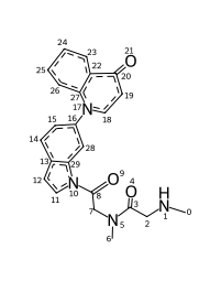 CNCC(=O)N(C)CC(=O)n1ccc2ccc(-n3ccc(=O)c4ccccc43)cc21